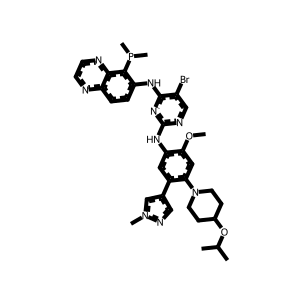 COc1cc(N2CCC(OC(C)C)CC2)c(-c2cnn(C)c2)cc1Nc1ncc(Br)c(Nc2ccc3nccnc3c2P(C)C)n1